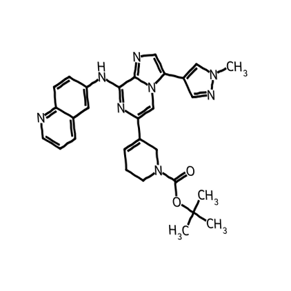 Cn1cc(-c2cnc3c(Nc4ccc5ncccc5c4)nc(C4=CCCN(C(=O)OC(C)(C)C)C4)cn23)cn1